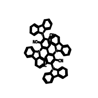 N#Cc1cc(-c2cc(C#N)c(-n3c4ccccc4c4ccccc43)c(C#N)c2-n2c3ccccc3c3ccccc32)c(-n2c3ccccc3c3ccccc32)c(C#N)c1-n1c2ccccc2c2ccccc21